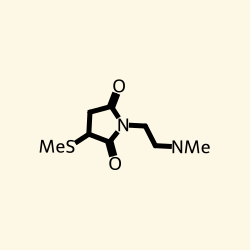 CNCCN1C(=O)CC(SC)C1=O